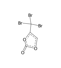 O=c1occ(C(Br)(Br)Br)o1